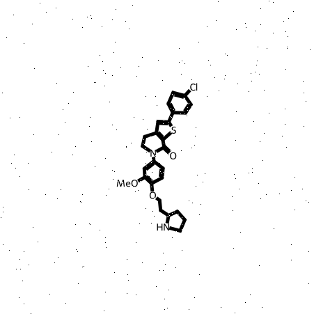 COc1cc(N2CCc3cc(-c4ccc(Cl)cc4)sc3C2=O)ccc1OCCC1CCCN1